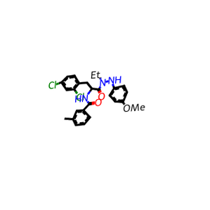 CCN(Nc1ccc(OC)cc1)C(=O)C(Cc1ccc(Cl)cc1Cl)NC(=O)c1cccc(C)c1